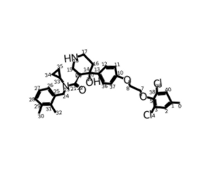 Cc1cc(Cl)c(OCCOc2ccc([C@@]3(O)CCNC[C@@H]3C(=O)N(Cc3cccc(C)c3C)C3CC3)cc2)c(Cl)c1